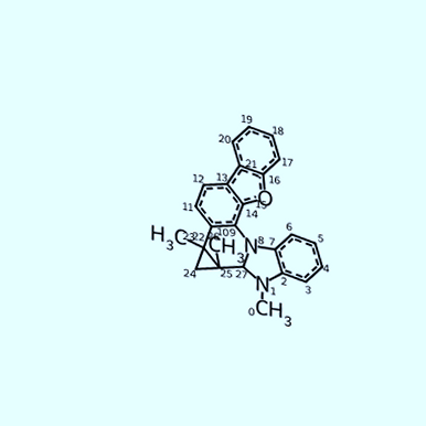 CN1c2ccccc2N2c3c(ccc4c3oc3ccccc34)C3(C)CC3(C)C12